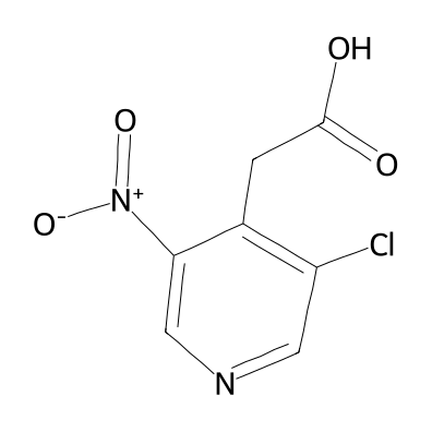 O=C(O)Cc1c(Cl)cncc1[N+](=O)[O-]